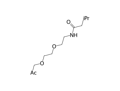 CC(=O)COCCOCCNC(=O)CC(C)C